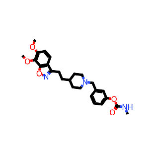 CNC(=O)Oc1cccc(CN2CCC(CCc3noc4c(OC)c(OC)ccc34)CC2)c1